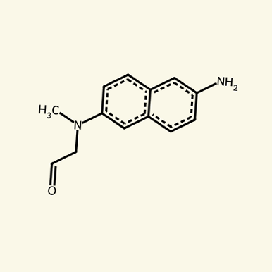 CN(CC=O)c1ccc2cc(N)ccc2c1